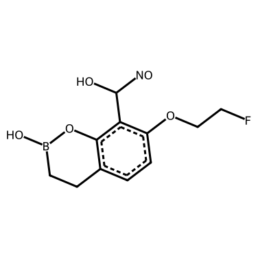 O=NC(O)c1c(OCCF)ccc2c1OB(O)CC2